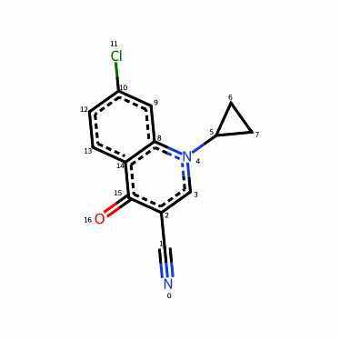 N#Cc1cn(C2CC2)c2cc(Cl)ccc2c1=O